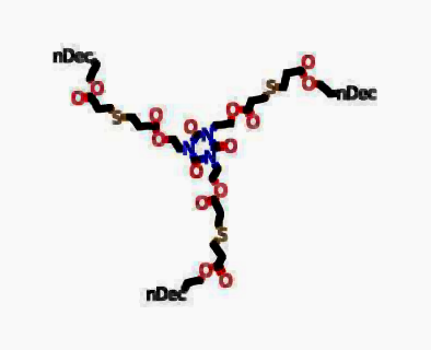 CCCCCCCCCCCCOC(=O)CCSCCC(=O)OCCn1c(=O)n(CCOC(=O)CCSCCC(=O)OCCCCCCCCCCCC)c(=O)n(CCOC(=O)CCSCCC(=O)OCCCCCCCCCCCC)c1=O